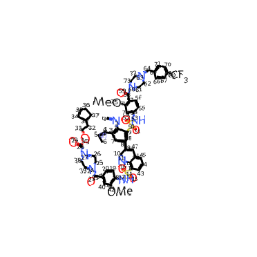 C=Nc1c(/C=C\C)cc(-c2cnc3c(S(=O)(=O)Nc4ccc(C(=O)N5CCN(C(=O)OCCC6CCCC6)CC5)cc4OC)cccc3c2)cc1S(=O)(=O)Nc1ccc(C(=O)N2CCN(Cc3ccc(C(F)(F)F)cc3)CC2)c(OC)c1